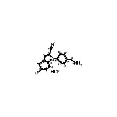 Cl.N#Cc1cc2cc(F)ccc2n1-c1ccc(CN)cc1